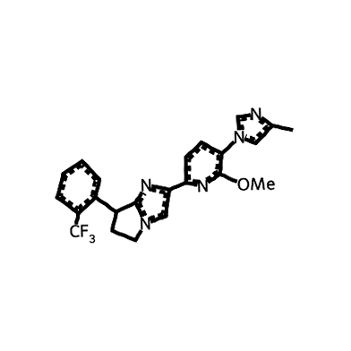 COc1nc(-c2cn3c(n2)C(c2ccccc2C(F)(F)F)CC3)ccc1-n1cnc(C)c1